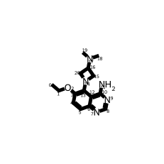 CCOc1ccc2ncnc(N)c2c1N1CC(N(C)C)C1